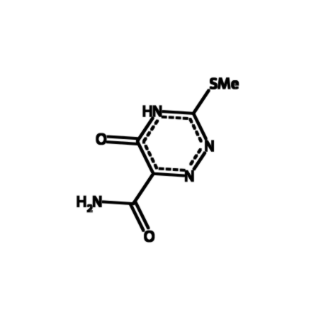 CSc1nnc(C(N)=O)c(=O)[nH]1